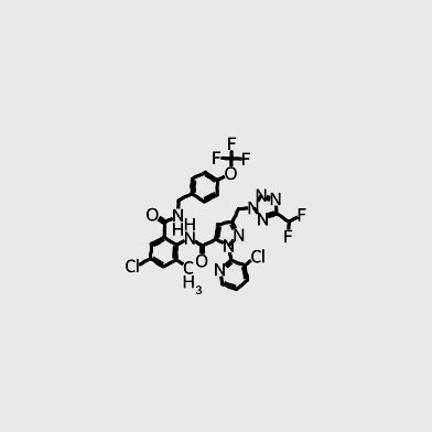 Cc1cc(Cl)cc(C(=O)NCc2ccc(OC(F)(F)F)cc2)c1NC(=O)c1cc(Cn2nnc(C(F)F)n2)nn1-c1ncccc1Cl